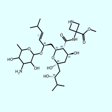 COC(=O)C1(NC(=O)[C@H]2[C@H](C[C@H](/C=C/C(C)C)OC3OC(C)C(O)C(N)C3O)O[C@](O)(C[C@@H](O)C(C)C)C[C@@H]2O)CNC1